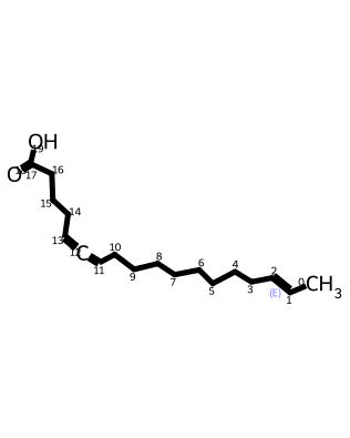 C/C=C/CCCCCCCCC=C=CCCCC(=O)O